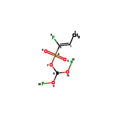 CC=C(F)S(=O)(=O)OB(OF)OF